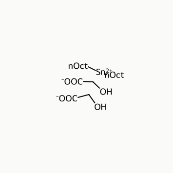 CCCCCCC[CH2][Sn+2][CH2]CCCCCCC.O=C([O-])CO.O=C([O-])CO